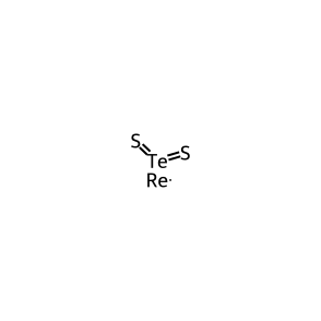 S=[Te]=S.[Re]